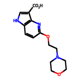 O=C(O)c1c[nH]c2ccc(OCCN3CCOCC3)nc12